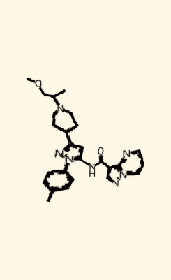 COCC(C)N1CCC(c2cc(NC(=O)c3cnn4cccnc34)n(-c3ccc(C)cc3)n2)CC1